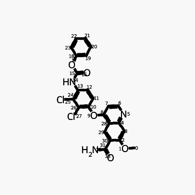 COc1cc2nccc(Oc3ccc(NC(=O)Oc4ccccc4)c(Cl)c3Cl)c2cc1C(N)=O